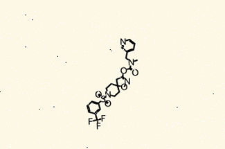 CN(Cc1cccnc1)C(=O)OC1=NOC2(CCN(S(=O)(=O)c3cccc(C(F)(F)F)c3)CC2)C1